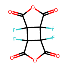 O=C1OC(=O)C2(F)C1(F)C1(F)C(=O)OC(=O)C21F